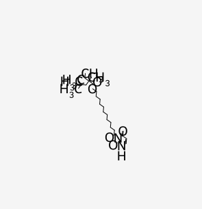 CC(C)CC(C)(C(=O)OCCCCCCCCCCCC(=O)n1c(=O)cc[nH]c1=O)C(C)C